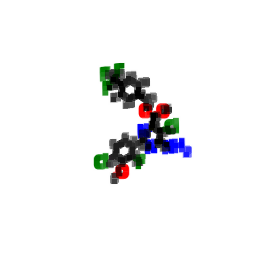 COc1c(Cl)ccc(-c2nc(N)c(Cl)c(C(=O)OCc3ccc(C(F)(F)F)cc3)n2)c1F